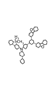 CC1(C)c2ccccc2-c2ccc(N(c3ccc(-c4ccccc4)cc3)c3ccc(-c4cc(-c5ccc6oc7ccccc7c6c5)cc(-c5ccc6oc7ccccc7c6c5)c4)cc3)cc21